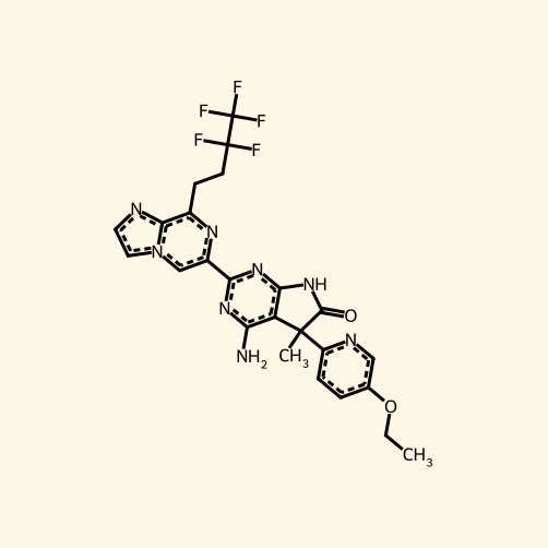 CCOc1ccc(C2(C)C(=O)Nc3nc(-c4cn5ccnc5c(CCC(F)(F)C(F)(F)F)n4)nc(N)c32)nc1